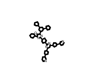 c1ccc(-c2cc(-c3ccccc3)cc(-c3nc(-c4ccc(-c5nc(-c6ccc(-c7cccnc7)cc6)cc(-c6ccc(-c7cccnc7)cc6)n5)cc4)nc4c3oc3ccccc34)c2)cc1